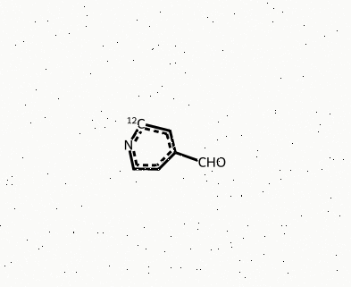 O=Cc1ccn[12cH]c1